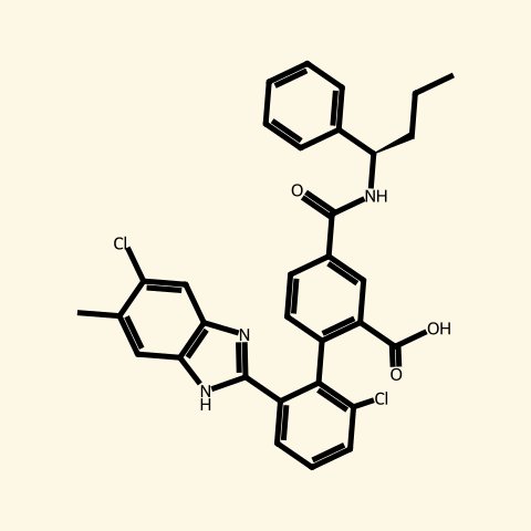 CCC[C@@H](NC(=O)c1ccc(-c2c(Cl)cccc2-c2nc3cc(Cl)c(C)cc3[nH]2)c(C(=O)O)c1)c1ccccc1